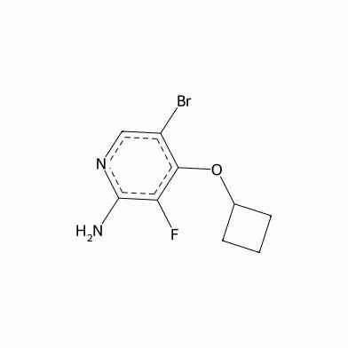 Nc1ncc(Br)c(OC2CCC2)c1F